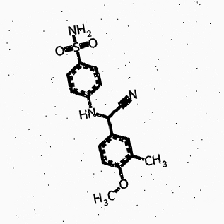 COc1ccc(C(C#N)Nc2ccc(S(N)(=O)=O)cc2)cc1C